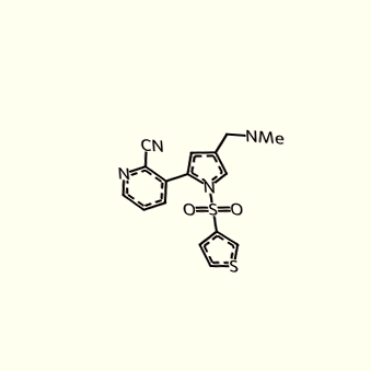 CNCc1cc(-c2cccnc2C#N)n(S(=O)(=O)c2ccsc2)c1